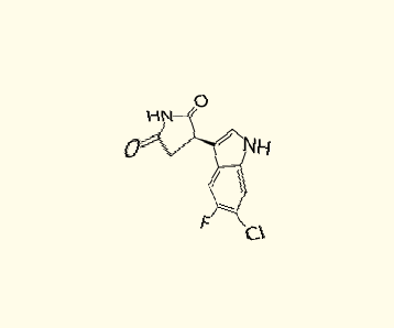 O=C1C[C@H](c2c[nH]c3cc(Cl)c(F)cc23)C(=O)N1